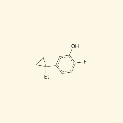 CCC1(c2ccc(F)c(O)c2)CC1